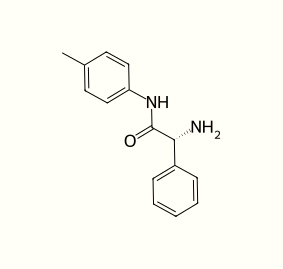 Cc1ccc(NC(=O)[C@H](N)c2ccccc2)cc1